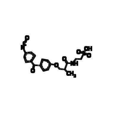 CC(COc1ccc(C(=O)c2ccc(N=C=O)cc2)cc1)C(=O)NCCS(=O)(=O)O